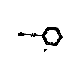 CCC[CH2][Al+][c]1ccccc1.[F-]